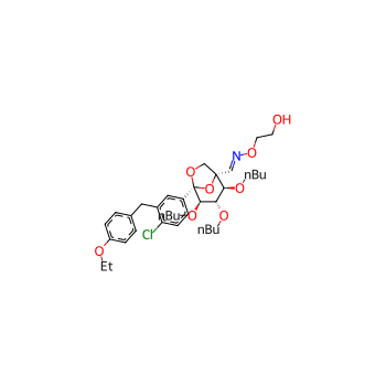 CCCCO[C@@H]1[C@@H](OCCCC)[C@@]2(c3ccc(Cl)c(Cc4ccc(OCC)cc4)c3)OC[C@](/C=N/OCCO)(O2)[C@H]1OCCCC